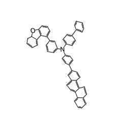 C1=CCC2Oc3cccc(-c4cccc(N(c5ccc(-c6ccccc6)cc5)c5ccc(-c6ccc7c(ccc8c9ccccc9ccc78)c6)cc5)c4)c3C2=C1